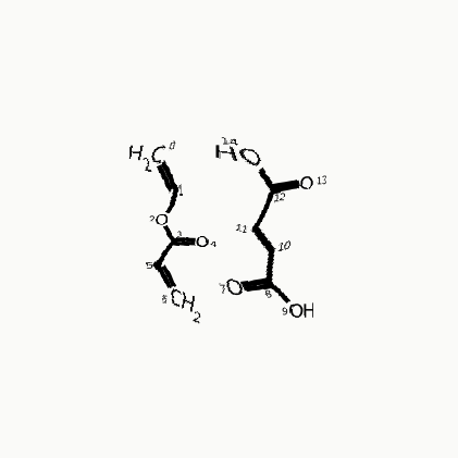 C=COC(=O)C=C.O=C(O)CCC(=O)O